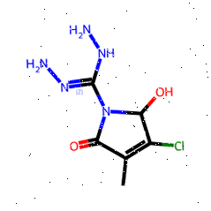 CC1=C(Cl)C(O)N(/C(=N/N)NN)C1=O